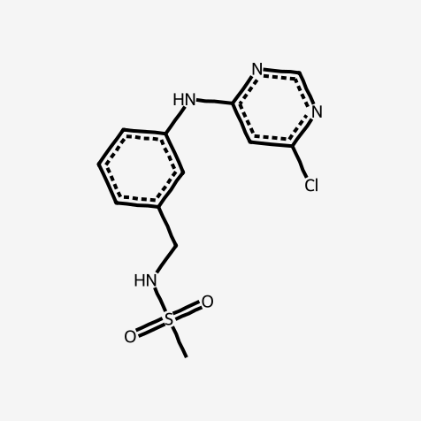 CS(=O)(=O)NCc1cccc(Nc2cc(Cl)ncn2)c1